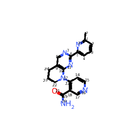 Cc1cccc(-c2ncc3c(n2)N(c2ccncc2C(N)=O)CCC3)n1